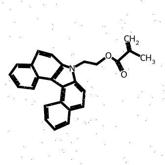 C=C(C)C(=O)OCCn1c2ccc3ccccc3c2c2c3ccccc3ccc21